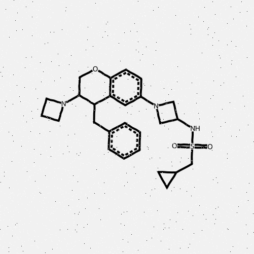 O=S(=O)(CC1CC1)NC1CN(c2ccc3c(c2)C(Cc2ccccc2)C(N2CCC2)CO3)C1